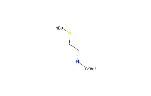 CCCCC[N]CCSCCCC